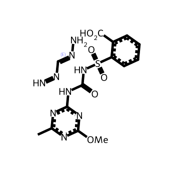 COc1nc(C)nc(NC(=O)NS(=O)(=O)c2ccccc2C(=O)O)n1.N=N/C=N/N